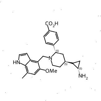 COc1cc(C)c2[nH]ccc2c1CN1CC[C@H](C2C[C@@H]2N)C[C@H]1c1ccc(C(=O)O)cc1